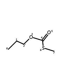 CC[CH]OC(=O)SC